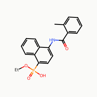 CCOP(=O)(O)c1ccc(NC(=O)c2ccccc2C)c2ccccc12